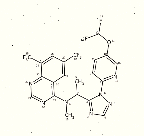 CC(c1ncnn1-c1ccc(OC(F)F)cn1)N(C)c1ncnc2c(C(F)(F)F)cc(C(F)(F)F)cc12